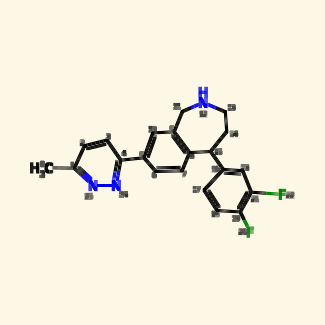 Cc1ccc(-c2ccc3c(c2)CNCCC3c2ccc(F)c(F)c2)nn1